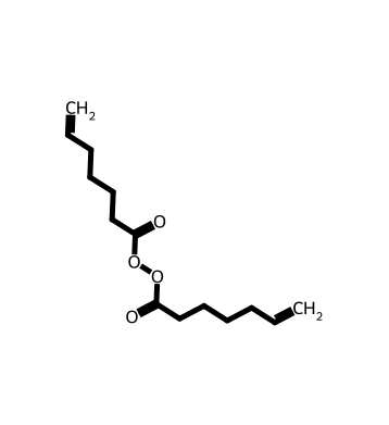 C=CCCCCC(=O)OOC(=O)CCCCC=C